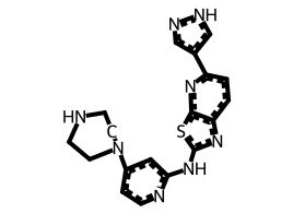 c1cc(N2CCNCC2)cc(Nc2nc3ccc(-c4cn[nH]c4)nc3s2)n1